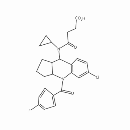 O=C(O)CCC(=O)N(C1CC1)C1c2ccc(Cl)cc2N(C(=O)c2ccc(F)cc2)C2CCCC21